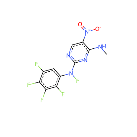 CNc1nc(N(F)c2cc(F)c(F)c(F)c2F)ncc1[N+](=O)[O-]